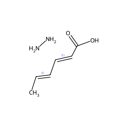 C/C=C/C=C/C(=O)O.NN